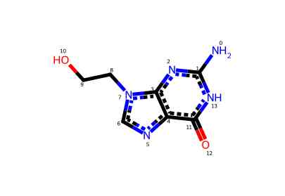 Nc1nc2c(ncn2CCO)c(=O)[nH]1